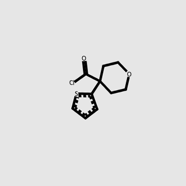 O=C(Cl)C1(c2cccs2)CCOCC1